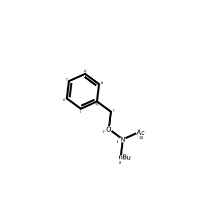 CCCCN(OCc1ccccc1)C(C)=O